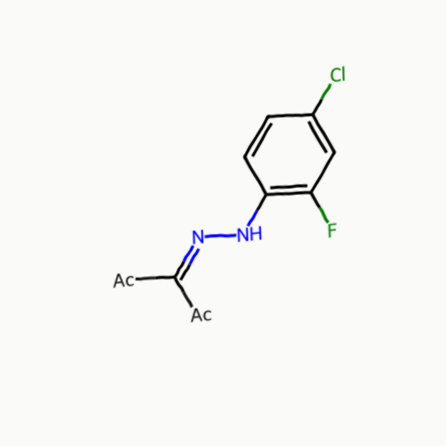 CC(=O)C(=NNc1ccc(Cl)cc1F)C(C)=O